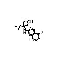 CC(CO)(CO)Nc1ncc2c(n1)NCNC2=O